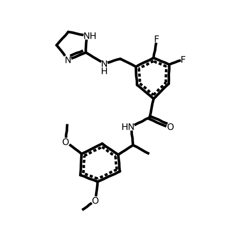 COc1cc(OC)cc(C(C)NC(=O)c2cc(F)c(F)c(CNC3=NCCN3)c2)c1